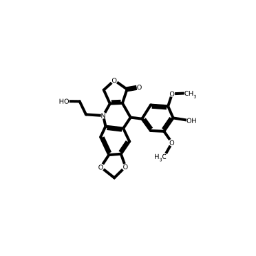 COc1cc(C2C3=C(COC3=O)N(CCO)c3cc4c(cc32)OCO4)cc(OC)c1O